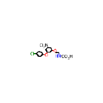 O=C(O)NCCOc1cc(Oc2ccc(Cl)cc2)cc([N+](=O)[O-])c1